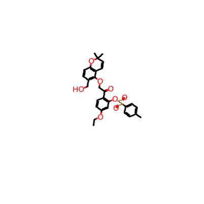 CCOc1ccc(C(=O)COc2c(CO)ccc3c2C=CC(C)(C)O3)c(OS(=O)(=O)c2ccc(C)cc2)c1